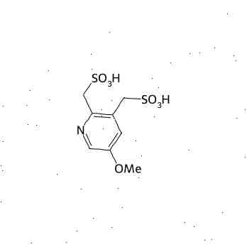 COc1cnc(CS(=O)(=O)O)c(CS(=O)(=O)O)c1